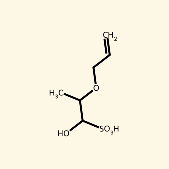 C=CCOC(C)C(O)S(=O)(=O)O